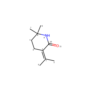 CC(C)=C1CCC(C)(C)NC1=O